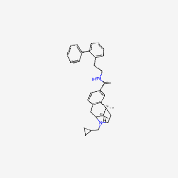 C=C(NCCc1ccccc1-c1ccccc1)c1ccc2c(c1)[C@@]1(C)CCN(CC3CC3)C(C2)[C@@H]1C